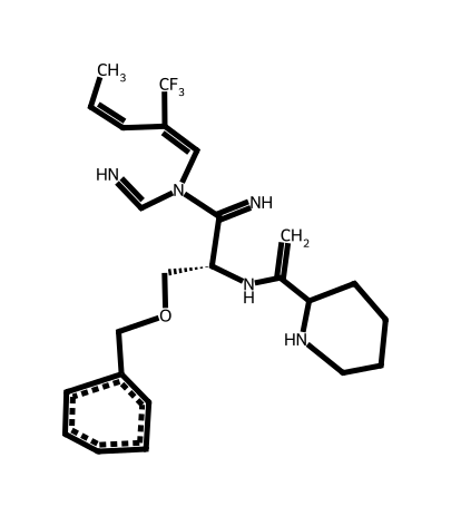 C=C(N[C@H](COCc1ccccc1)C(=N)N(C=N)/C=C(\C=C/C)C(F)(F)F)C1CCCCN1